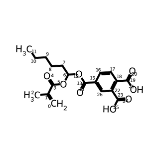 C=C(C)C(=O)OC(CCCCC)OC(=O)c1ccc(C(=O)O)c(C(=O)O)c1